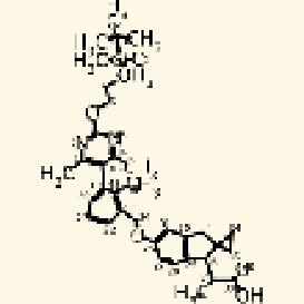 Cc1nc(OCCO[Si](C)(C)C(C)(C)C)nc(C)c1-c1cccc(COc2ccc3c(c2)CC2(CC2)C3C(C)C(=O)O)c1C